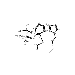 CCCCn1ccnc1.CCCc1cccnc1.O=S(=O)(O)C(F)(F)F